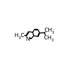 CC1=CC2C=CC(C(C)C)=CC2C=N1